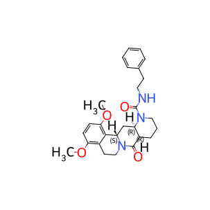 COc1ccc(OC)c2c1CCN1C(=O)[C@@H]3CCCN(C(=O)NCCc4ccccc4)[C@@H]3C[C@@H]21